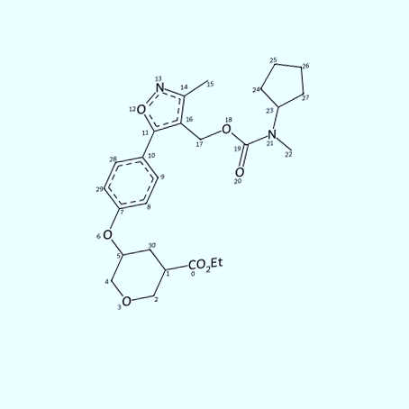 CCOC(=O)C1COCC(Oc2ccc(-c3onc(C)c3COC(=O)N(C)C3CCCC3)cc2)C1